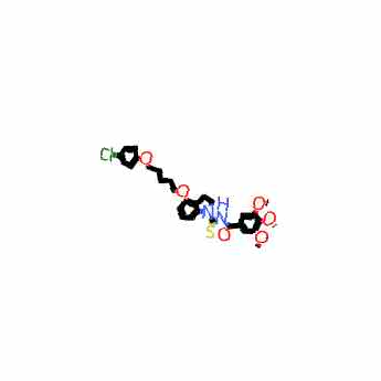 COc1cc(C(=O)NC(=S)N2CCc3c(OCCCCCOc4ccc(Cl)cc4)cccc32)cc(OC)c1OC